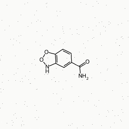 NC(=O)c1ccc2c(c1)NOO2